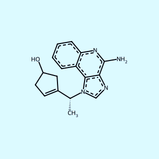 C[C@H](C1=CCC(O)C1)n1cnc2c(N)nc3ccccc3c21